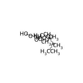 Cc1c(C)c2c(c(C)c1OCC(=O)NCCOCCO)CC[C@@](C)(CCC[C@H](C)CCCC(C)C)O2